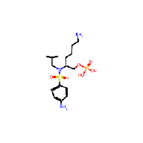 CC(C)CN([C@@H](CCCCN)COP(=O)(O)O)S(=O)(=O)c1ccc(N)cc1